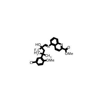 COC(=O)c1ccc2c(N=CC(O)(CC(C)(C)c3cc(Cl)ccc3OC)C(F)(F)F)cccc2n1